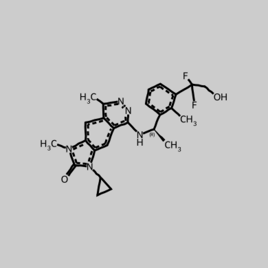 Cc1c([C@@H](C)Nc2nnc(C)c3cc4c(cc23)n(C2CC2)c(=O)n4C)cccc1C(F)(F)CO